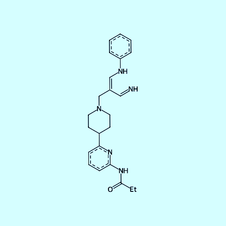 CCC(=O)Nc1cccc(C2CCN(C/C(C=N)=C/Nc3ccccc3)CC2)n1